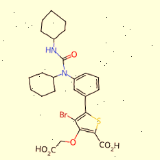 O=C(O)COc1c(C(=O)O)sc(-c2cccc(N(C(=O)NC3CCCCC3)C3CCCCC3)c2)c1Br